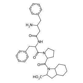 NC(CC(=O)NC(Cc1ccccc1)C(=O)N1CCCC1C(=O)N1C(C(=O)O)CC2CCCCC21)Cc1ccccc1